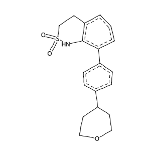 O=S1(=O)CCc2cccc(-c3ccc(C4CCOCC4)cc3)c2N1